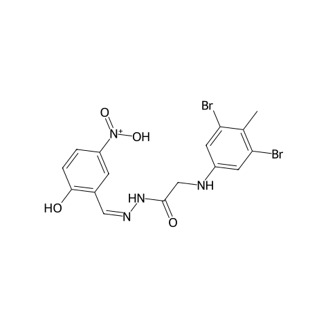 Cc1c(Br)cc(NCC(=O)N/N=C\c2cc([N+](=O)O)ccc2O)cc1Br